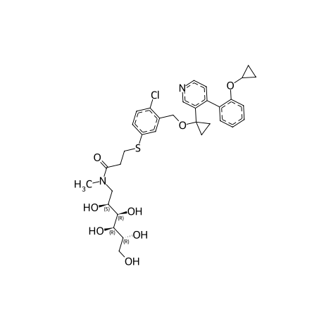 CN(C[C@H](O)[C@@H](O)[C@H](O)[C@H](O)CO)C(=O)CCSc1ccc(Cl)c(COC2(c3cnccc3-c3ccccc3OC3CC3)CC2)c1